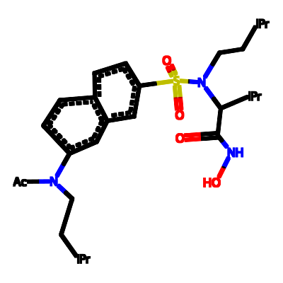 CC(=O)N(CCC(C)C)c1ccc2ccc(S(=O)(=O)N(CCC(C)C)C(C(=O)NO)C(C)C)cc2c1